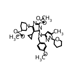 COc1ccc(CN(c2cc(C)n(C3CCCCO3)n2)c2nc(S(C)(=O)=O)nc(N3CCCC(S(C)(=O)=O)C3)c2C2CC2)cc1